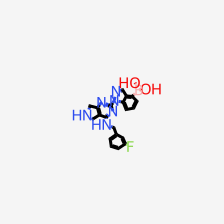 OB(O)c1cccc2c1cnn2-c1nc2c(c(NCc3cccc(F)c3)n1)CNC2